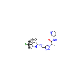 COc1cc(NCc2cn(C(C)C(=O)Nc3cccnc3)nn2)ncc1[Si](F)(C(C)(C)C)C(C)(C)C